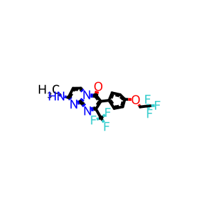 CNc1ccn2c(=O)c(-c3ccc(OCC(F)(F)F)cc3)c(C(F)(F)F)nc2n1